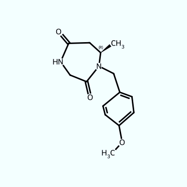 COc1ccc(CN2C(=O)CNC(=O)C[C@H]2C)cc1